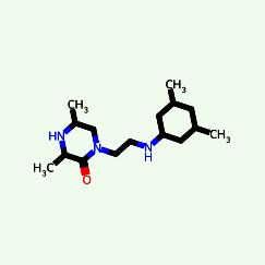 CC1CC(C)CC(NCCN2CC(C)NC(C)C2=O)C1